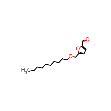 CCCCCCCCCCOCc1ccc(C=O)o1